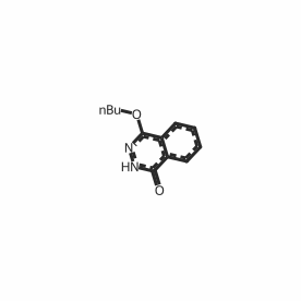 CCCCOc1n[nH]c(=O)c2ccccc12